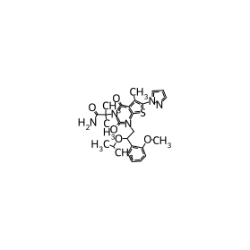 COc1ccccc1C(Cn1c(=O)n(C(C)(C)C(N)=O)c(=O)c2c(C)c(-n3cccn3)sc21)OC(C)C